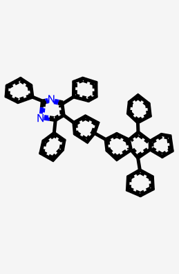 c1ccc(-c2nc(-c3ccccc3)c(-c3ccc(-c4ccc5c(-c6ccccc6)c6ccccc6c(-c6ccccc6)c5c4)cc3)c(-c3ccccc3)n2)cc1